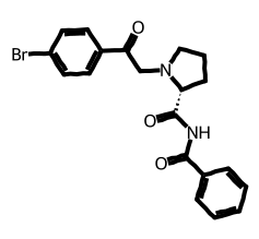 O=C(CN1CCC[C@@H]1C(=O)NC(=O)c1ccccc1)c1ccc(Br)cc1